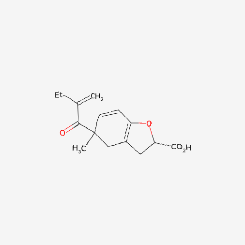 C=C(CC)C(=O)C1(C)C=CC2=C(CC(C(=O)O)O2)C1